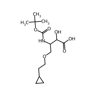 CC(C)(C)OC(=O)NC(COCCC1CC1)C(O)C(=O)O